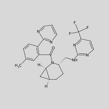 Cc1ccc(-c2ncccn2)c(C(=O)N2[C@H](CNc3nccc(C(F)(F)F)n3)CC[C@H]3C[C@H]32)c1